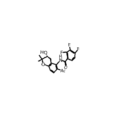 CC(=O)c1ccc2c(c1NC(=O)c1ccc(F)c(F)c1F)C[C@@H](O)C(C)(C)O2